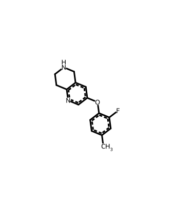 Cc1ccc(Oc2cnc3c(c2)CNCC3)c(F)c1